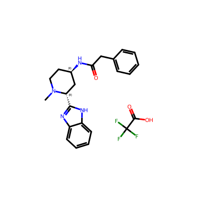 CN1CC[C@@H](NC(=O)Cc2ccccc2)C[C@@H]1c1nc2ccccc2[nH]1.O=C(O)C(F)(F)F